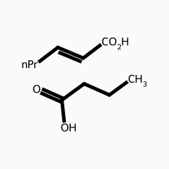 CCCC(=O)O.CCCC=CC(=O)O